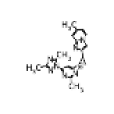 Cc1ccn2cc(C3C[C@H]3c3cc(-n4nc(C)nc4C)nc(C)n3)nc2c1